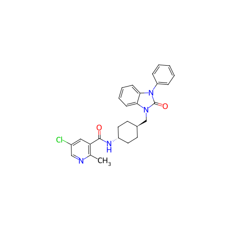 Cc1ncc(Cl)cc1C(=O)N[C@H]1CC[C@H](Cn2c(=O)n(-c3ccccc3)c3ccccc32)CC1